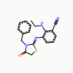 CCNc1c(C#N)cccc1N=C1SCC(=O)N1Cc1ccccc1